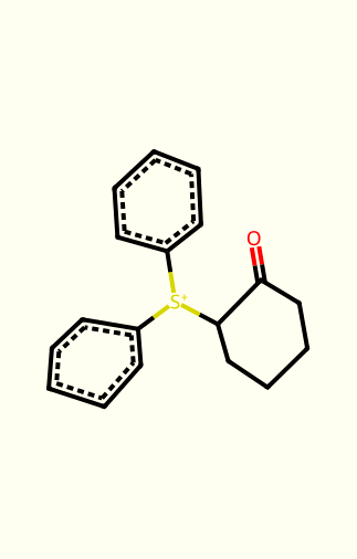 O=C1CCCCC1[S+](c1ccccc1)c1ccccc1